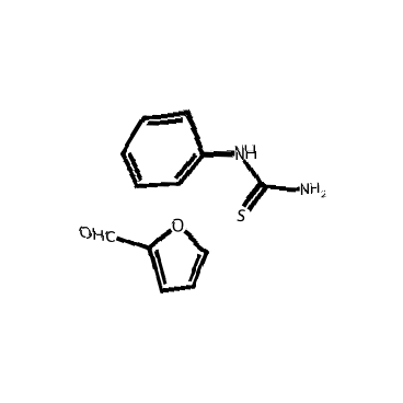 NC(=S)Nc1ccccc1.O=Cc1ccco1